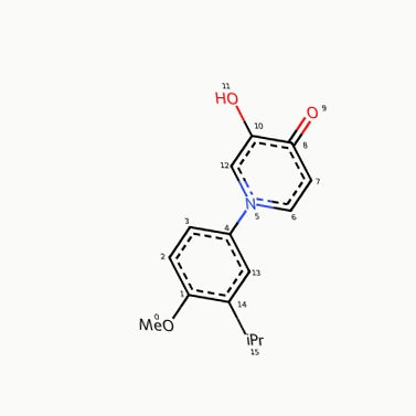 COc1ccc(-n2ccc(=O)c(O)c2)cc1C(C)C